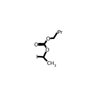 CC(C)COC(=O)OC(C)I